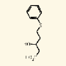 O=C(O)CC(O)CCSc1ccccc1